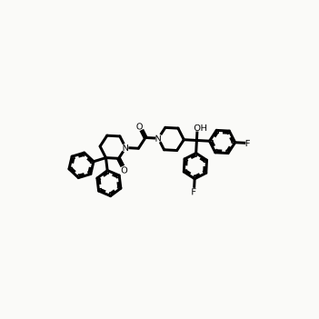 O=C(CN1CCCC(c2ccccc2)(c2ccccc2)C1=O)N1CCC(C(O)(c2ccc(F)cc2)c2ccc(F)cc2)CC1